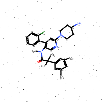 CN(C(=O)C(C)(C)c1cc(C(F)(F)F)cc(C(F)(F)F)c1)c1cnc(N2CCC(N)CC2)cc1-c1ccccc1Cl